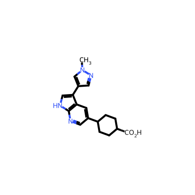 Cn1cc(-c2c[nH]c3ncc(C4CCC(C(=O)O)CC4)cc23)cn1